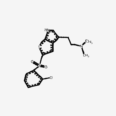 CN(C)CCc1c[nH]c2sc(S(=O)(=O)c3ccccc3Cl)cc12